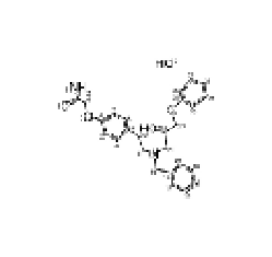 Cl.NC(=O)COc1ccc(CCN(Cc2ccncc2)CC(O)COc2ccccc2)cc1